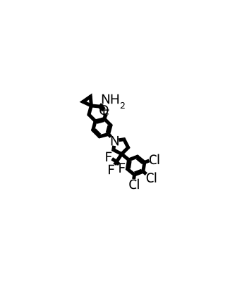 NC(=O)C1(Cc2ccc(N3CCC(c4cc(Cl)c(Cl)c(Cl)c4)(C(F)(F)F)C3)cc2F)CC1